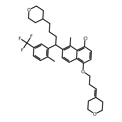 Cc1ccc(C(F)(F)F)cc1C(CCCC1CCOCC1)c1ccc2c(OCCC=C3CCOCC3)ccc(Cl)c2c1C